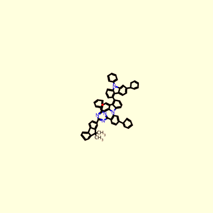 CC1(C)c2ccccc2-c2ccc(-c3nc(-c4ccccc4)nc(-c4ccc(-c5ccccc5)cc4-n4c5ccccc5c5c(-c6cccc7c6c6ccc(C8C=CC=CC8)cc6n7-c6ccccc6)cccc54)n3)cc21